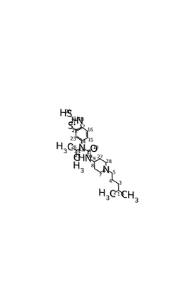 CC(C)CCCN1CCC(NC(=O)N(c2ccc3nc(S)sc3c2)C(C)C)CC1